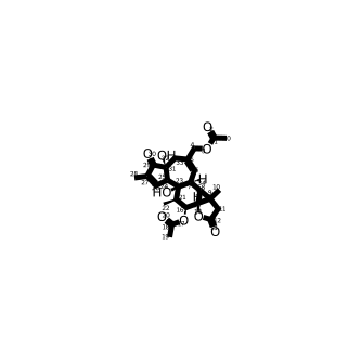 CC(=O)OCC1=C[C@H]2[C@@H]3C4(C)CC(=O)O[C@@]34[C@H](OC(C)=O)[C@@H](C)[C@]2(O)C2C=C(C)C(=O)[C@@]2(O)C1